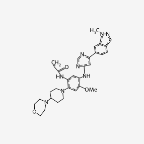 C=CC(=O)Nc1cc(Nc2cc(-c3ccc4cnn(C)c4c3)ncn2)c(OC)cc1N1CCC(N2CCOCC2)CC1